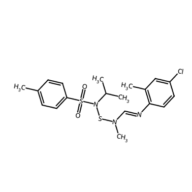 Cc1ccc(S(=O)(=O)N(SN(C)C=Nc2ccc(Cl)cc2C)C(C)C)cc1